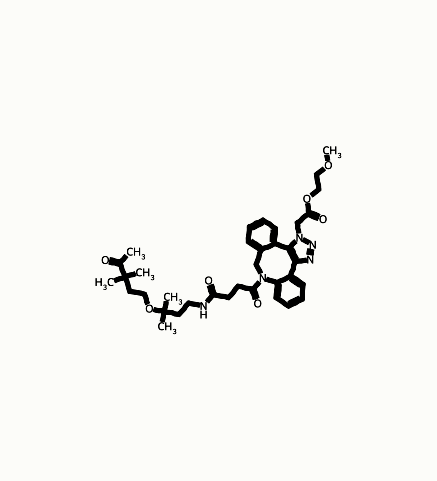 COCCOC(=O)Cn1nnc2c1-c1ccccc1CN(C(=O)CCC(=O)NCCC(C)(C)OCCC(C)(C)C(C)=O)c1ccccc1-2